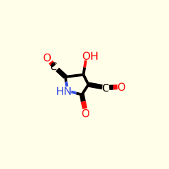 O=C=C1NC(=O)C(=C=O)C1O